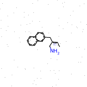 C/C=C(\CN)Cc1ccc2ccccc2c1